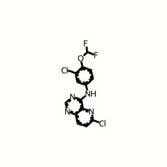 FC(F)Oc1ccc(Nc2ncnc3ccc(Cl)nc23)cc1Cl